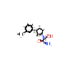 Cc1cccc([C@H]2CC[C@@H](N(O)C(N)=O)C2)c1